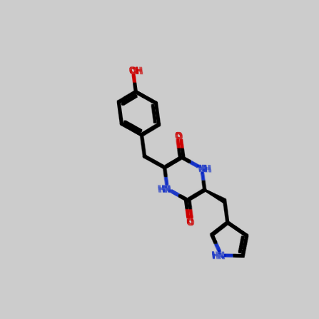 O=C1N[C@@H](CC2C=CNC2)C(=O)NC1Cc1ccc(O)cc1